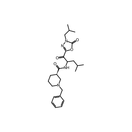 CC(C)CC(NC(=O)[C@@H]1CCCN(Cc2ccccc2)C1)C(=O)c1nn(CC(C)C)c(=O)o1